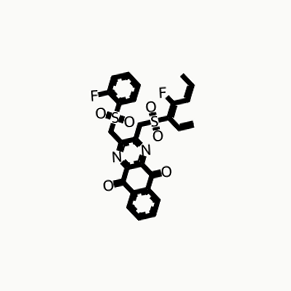 C=C/C(=C(F)\C=C/C)S(=O)(=O)Cc1nc2c(nc1CS(=O)(=O)c1ccccc1F)C(=O)c1ccccc1C2=O